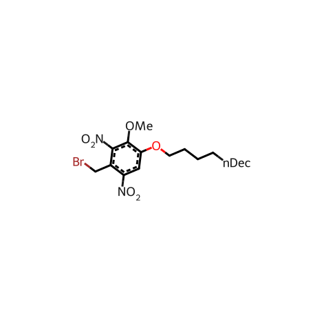 CCCCCCCCCCCCCCOc1cc([N+](=O)[O-])c(CBr)c([N+](=O)[O-])c1OC